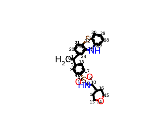 C=C(c1ccc(S(=O)(=O)NCC2CCOCC2)cc1)c1ccc2c(c1)Nc1ccccc1S2